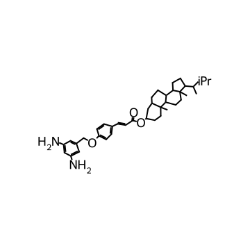 CC(C)C(C)C1CCC2C3CCC4CC(OC(=O)/C=C/c5ccc(OCc6cc(N)cc(N)c6)cc5)CCC4(C)C3CCC12C